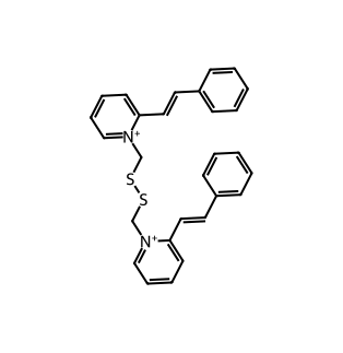 C(=C\c1cccc[n+]1CSSC[n+]1ccccc1/C=C/c1ccccc1)/c1ccccc1